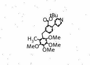 COc1c(C)c(Cc2ccc(-c3ccncc3)c(C(=O)OC(C)(C)C)c2)c(OC)c(OC)c1OC